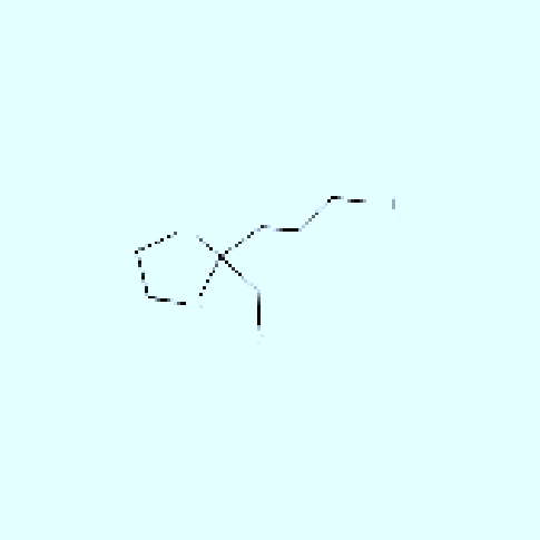 NCCCC1(CBr)OCCO1